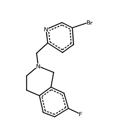 Fc1ccc2c(c1)CN(Cc1ccc(Br)cn1)CC2